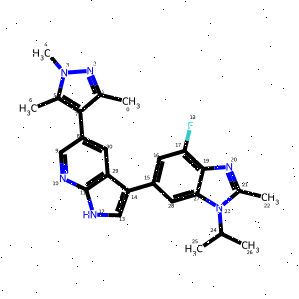 Cc1nn(C)c(C)c1-c1cnc2[nH]cc(-c3cc(F)c4nc(C)n(C(C)C)c4c3)c2c1